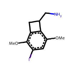 COc1cc(I)c(OC)c2c1C(CN)C2